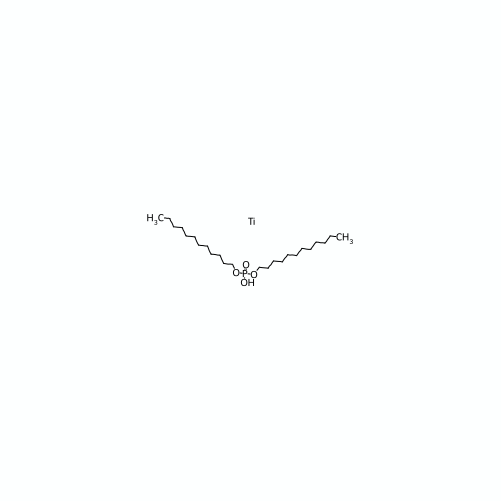 CCCCCCCCCCCCOP(=O)(O)OCCCCCCCCCCCC.[Ti]